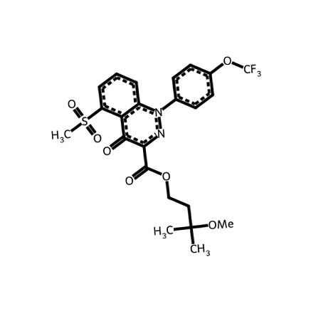 COC(C)(C)CCOC(=O)c1nn(-c2ccc(OC(F)(F)F)cc2)c2cccc(S(C)(=O)=O)c2c1=O